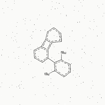 CC(C)(C)c1cccc(C(C)(C)C)c1-c1cccc2c1=c1ccccc1=2